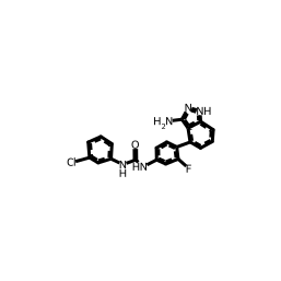 Nc1n[nH]c2cccc(-c3ccc(NC(=O)Nc4cccc(Cl)c4)cc3F)c12